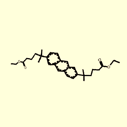 CCOC(=O)CCCC(C)(C)c1ccc2cc3cc(C(C)(C)CCCC(=O)OCC)ccc3cc2c1